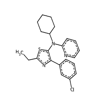 CCc1nc(-c2cccc(Cl)c2)c(N(c2ccccn2)C2CCCCC2)s1